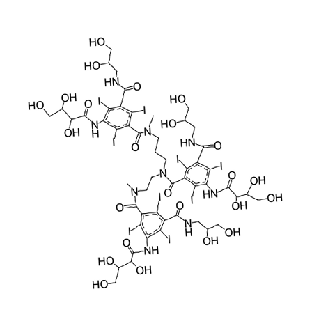 CN(CCCN(CCN(C)C(=O)c1c(I)c(NC(=O)C(O)C(O)CO)c(I)c(C(=O)NCC(O)CO)c1I)C(=O)c1c(I)c(NC(=O)C(O)C(O)CO)c(I)c(C(=O)NCC(O)CO)c1I)C(=O)c1c(I)c(NC(=O)C(O)C(O)CO)c(I)c(C(=O)NCC(O)CO)c1I